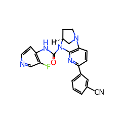 N#Cc1cccc(-c2ccc3c(n2)N(C(=O)Nc2ccncc2F)[C@H]2CCN3C2)c1